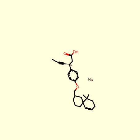 CC#C[C@@H](CC(=O)O)c1ccc(OCC2CCCC3(C=CCCC3(C)C)C2)cc1.[Na]